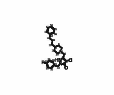 O=c1c(Cl)c(CN2CCC(CCCc3ccccc3)CC2)[nH]n1Cc1ccc(F)cc1